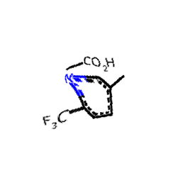 CC(=O)O.Cc1ccc(C(F)(F)F)nc1